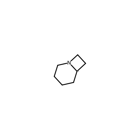 C1CCN2CC[C]2C1